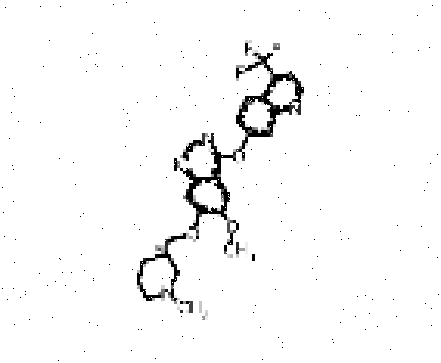 COc1cc2c(Oc3ccc4c(C(F)(F)F)ccnc4c3)ncnc2cc1OC[C@@H]1CCCN(C)C1